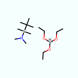 CCO[SiH](OCC)OCC.CN(C)[Si](C)(C)C(C)(C)C